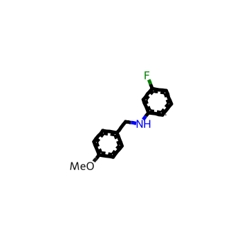 COc1ccc(CNc2[c]ccc(F)c2)cc1